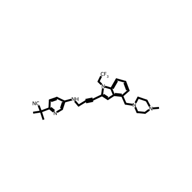 CN1CCN(Cc2cccc3c2cc(C#CCNc2ccc(C(C)(C)C#N)nc2)n3CC(F)(F)F)CC1